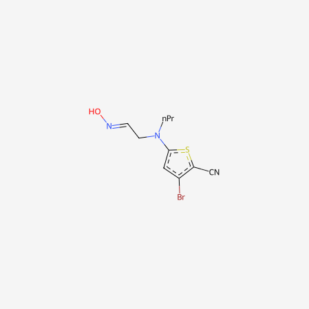 CCCN(C/C=N/O)c1cc(Br)c(C#N)s1